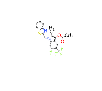 CC(=O)Oc1c(C)n(Cc2nc3ccccc3s2)c2cc(F)c(C(F)(F)F)cc12